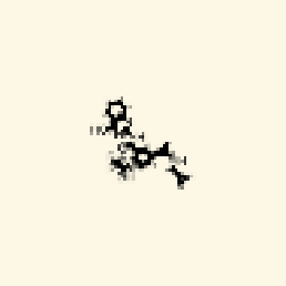 O=C(Nc1nc(O)c2c(n1)CCCC2)c1cccc(C2CC2NCC2CC2)c1.O=C(O)C(F)(F)F